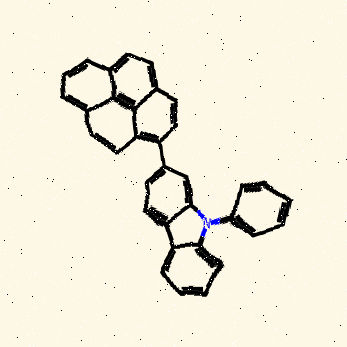 c1ccc(-n2c3ccccc3c3ccc(-c4ccc5ccc6cccc7ccc4c5c67)cc32)cc1